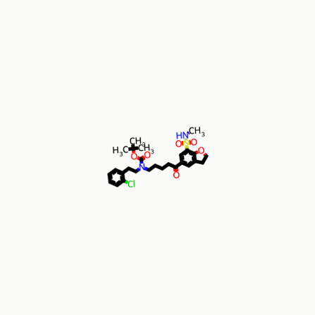 CNS(=O)(=O)c1cc(C(=O)CCCCN(CCc2ccccc2Cl)C(=O)OC(C)(C)C)cc2c1OCC2